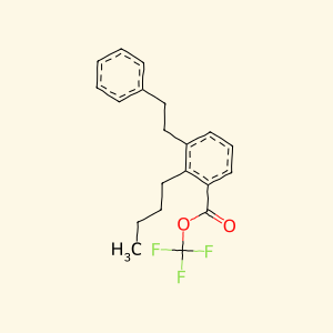 CCCCc1c(CCc2ccccc2)cccc1C(=O)OC(F)(F)F